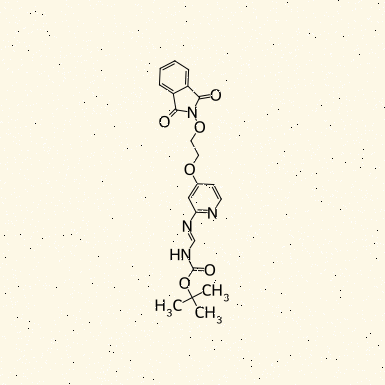 CC(C)(C)OC(=O)N/C=N/c1cc(OCCON2C(=O)c3ccccc3C2=O)ccn1